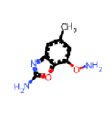 Cc1cc(ON)c2oc(N)nc2c1